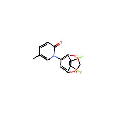 Cc1ccc(=O)n(-c2cc3c(F)c(F)c2OCO3)c1